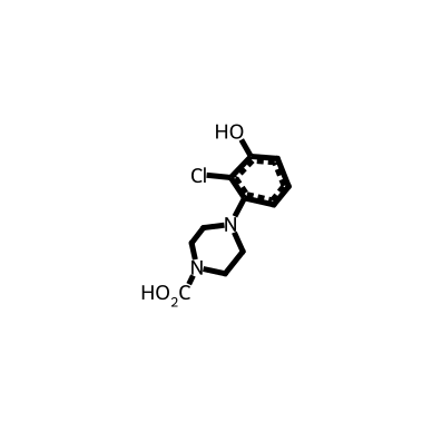 O=C(O)N1CCN(c2cccc(O)c2Cl)CC1